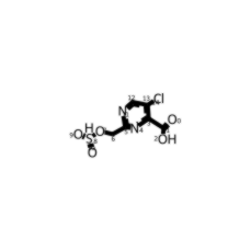 O=C(O)c1nc(CO[SH](=O)=O)ncc1Cl